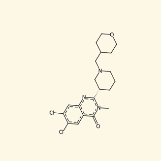 Cn1c([C@H]2CCCN(CC3CCOCC3)C2)nc2cc(Cl)c(Cl)cc2c1=O